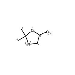 CC1(C)NCC(C(F)(F)F)O1